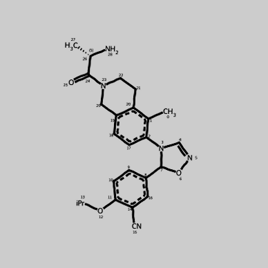 Cc1c(N2C=NOC2c2ccc(OC(C)C)c(C#N)c2)ccc2c1CCN(C(=O)[C@H](C)N)C2